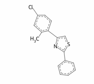 Cc1cc(Cl)ccc1-c1csc(-c2ccccc2)n1